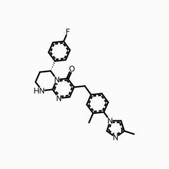 Cc1cn(-c2ccc(Cc3cnc4n(c3=O)[C@@H](c3ccc(F)cc3)CCN4)cc2C)cn1